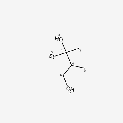 CCC(C)(O)C(C)CO